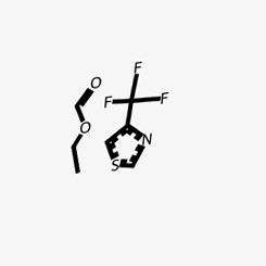 CCOC=O.FC(F)(F)c1cscn1